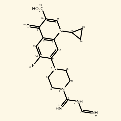 N=CNC(=N)N1CCN(c2cc3c(cc2F)c(=O)c(C(=O)O)cn3C2CC2)CC1